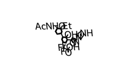 CCOc1cc(-c2cccc(-c3cc(N4CCNCC4)no3)c2O)ccc1NC(C)=O.O=C(O)C(F)(F)F